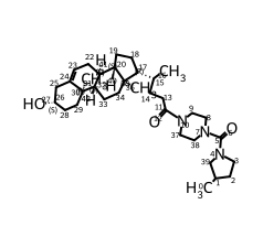 CC1CCN(C(=O)N2CCN(C(=O)CCC(C)[C@H]3CC[C@H]4[C@@H]5CC=C6C[C@@H](O)CC[C@]6(C)[C@H]5CC[C@]34C)CC2)C1